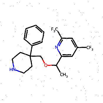 CC(OCC1(c2ccccc2)CCNCC1)c1cc(C(F)(F)F)cc(C(F)(F)F)n1